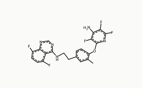 Cc1cc(CCNc2ncnc3c(F)ccc(F)c23)ccc1Oc1nc(F)c(F)c(N)c1F